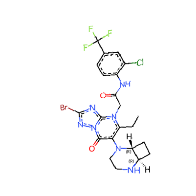 CCc1c(N2CCN[C@@H]3CC[C@H]32)c(=O)n2nc(Br)nc2n1CC(=O)Nc1ccc(C(F)(F)F)cc1Cl